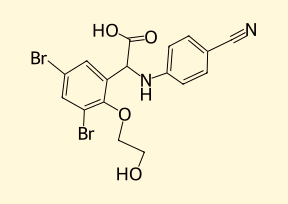 N#Cc1ccc(NC(C(=O)O)c2cc(Br)cc(Br)c2OCCO)cc1